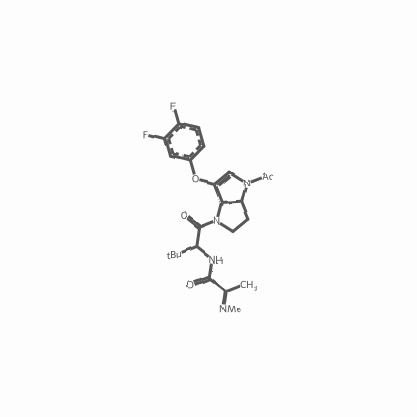 CNC(C)C(=O)NC(C(=O)N1CCC2C1C(Oc1ccc(F)c(F)c1)=CN2C(C)=O)C(C)(C)C